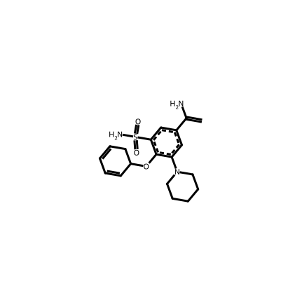 C=C(N)c1cc(N2CCCCC2)c(OC2C=CC=CC2)c(S(N)(=O)=O)c1